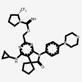 N=C(OCc1nc(NC2CC2)c2c(n1)N(c1ccc(N3CCOCC3)cc1)C(=O)C21CCCC1)N1CCC[C@@H]1C(F)(F)F